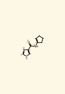 O=C(NC1=CCCC1)c1cscn1